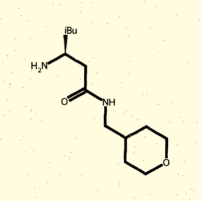 CCC(C)[C@H](N)CC(=O)NCC1CCOCC1